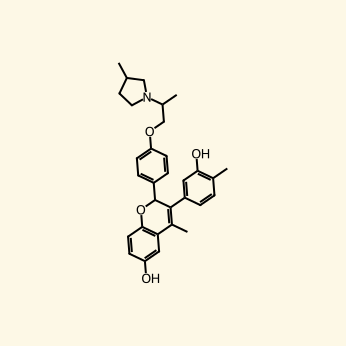 CC1=C(c2ccc(C)c(O)c2)C(c2ccc(OCC(C)N3CCC(C)C3)cc2)Oc2ccc(O)cc21